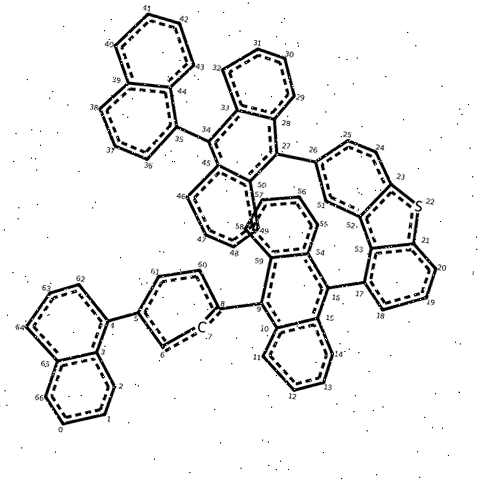 c1ccc2c(-c3ccc(-c4c5ccccc5c(-c5cccc6sc7ccc(-c8c9ccccc9c(-c9cccc%10ccccc9%10)c9ccccc89)cc7c56)c5ccccc45)cc3)cccc2c1